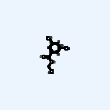 O=C(OCCl)c1cc(Cl)cc(Cl)c1